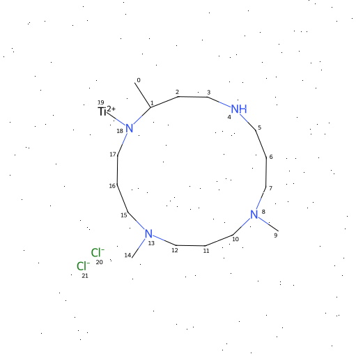 CC1CCNCCCN(C)CCCN(C)CCC[N]1[Ti+2].[Cl-].[Cl-]